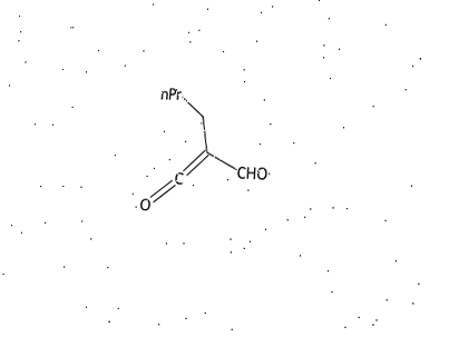 CCCCC([C]=O)=C=O